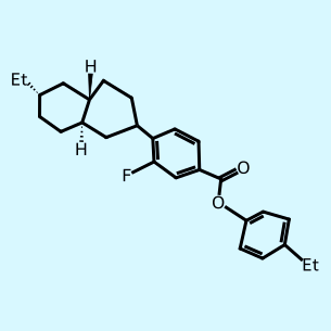 CCc1ccc(OC(=O)c2ccc(C3CC[C@H]4C[C@@H](CC)CC[C@@H]4C3)c(F)c2)cc1